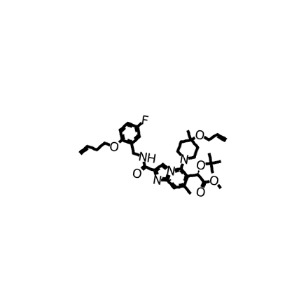 C=CCCOc1ccc(F)cc1CNC(=O)c1cn2c(N3CCC(C)(OCC=C)CC3)c([C@H](OC(C)(C)C)C(=O)OC)c(C)cc2n1